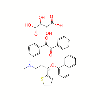 CNCC[C@H](Oc1cccc2ccccc12)c1cccs1.O=C(C(=O)c1ccccc1)c1ccccc1.O=C(O)C(O)C(O)C(=O)O